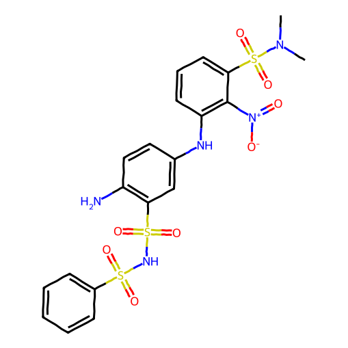 CN(C)S(=O)(=O)c1cccc(Nc2ccc(N)c(S(=O)(=O)NS(=O)(=O)c3ccccc3)c2)c1[N+](=O)[O-]